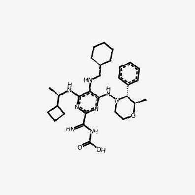 C[C@@H](Nc1nc(C(=N)NC(=O)O)nc(NN2CCO[C@H](C)[C@H]2c2ccccc2)c1NCC1CCCCC1)C1CCC1